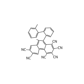 Cc1ccccc1-c1ccccc1-c1c(C)c2cc(C#N)c(C#N)cc2c2c(C#N)c(C#N)c(C#N)c(C#N)c12